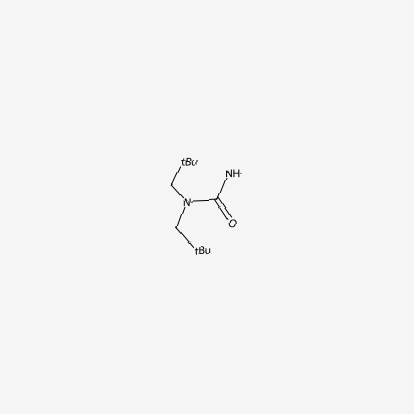 CC(C)(C)CN(CC(C)(C)C)C([NH])=O